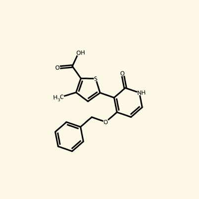 Cc1cc(-c2c(OCc3ccccc3)cc[nH]c2=O)sc1C(=O)O